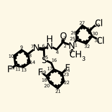 CN(C(=O)CNC(=Nc1ccc(F)cc1)SCc1c(F)cccc1F)c1ccc(Cl)c(Cl)c1